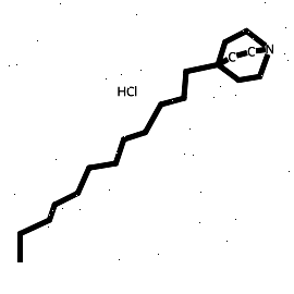 CCCCCCCCCCCCC12CCN(CC1)CC2.Cl